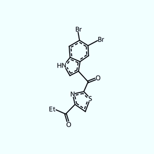 CCC(=O)c1csc(C(=O)c2c[nH]c3cc(Br)c(Br)cc23)n1